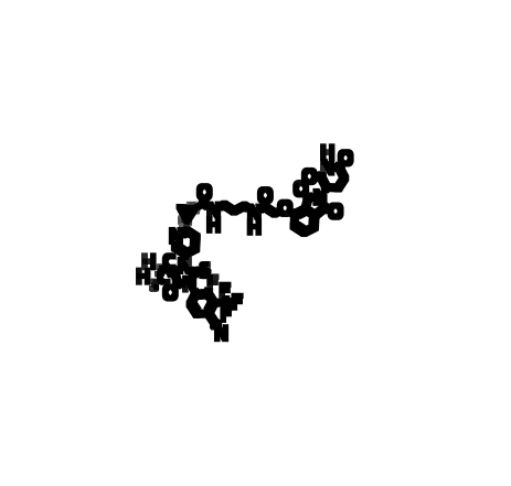 CC1(C)C(=O)N(c2ccc(C#N)c(C(F)(F)F)c2F)C(=S)N1c1ccc([C@@H]2C[C@H]2C(=O)NCCCNC(=O)COc2cccc3c2C(=O)N(C2CCC(=O)NC2=O)C3=O)nc1